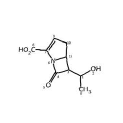 CC(O)C1C(=O)N2C(C(=O)O)=CCC12